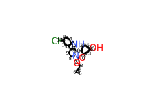 O=C(OCC1CC1)N1CCc2c([nH]c3ccc(Cl)cc23)[C@@H]1c1ccc(O)cc1